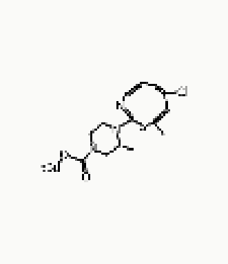 Cc1cc(Cl)cccnc(N2CCN(C(=O)OC(C)(C)C)C[C@@H]2C)s1